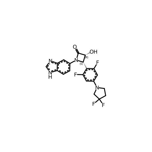 O=C1[C@H](O)[C@H](c2c(F)cc(N3CCC(F)(F)C3)cc2F)N1c1ccc2[nH]cnc2c1